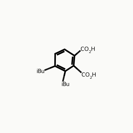 CCC(C)c1ccc(C(=O)O)c(C(=O)O)c1C(C)CC